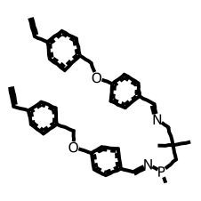 C=Cc1ccc(COc2ccc(/C=N/CC(C)(C)CP(C)/N=C/c3ccc(OCc4ccc(C=C)cc4)cc3)cc2)cc1